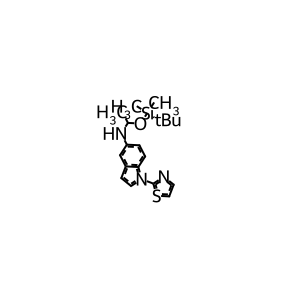 CC(Nc1ccc2c(ccn2-c2nccs2)c1)O[Si](C)(C)C(C)(C)C